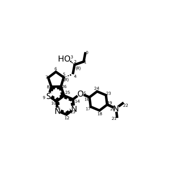 CC[C@@H](O)C[C@H]1CCc2sc3ncnc(OC4CCC(N(C)C)CC4)c3c21